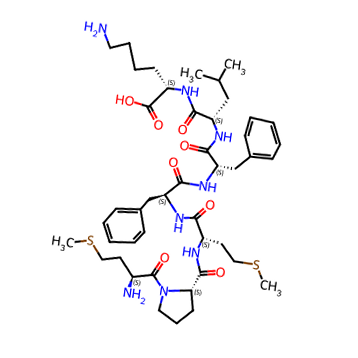 CSCC[C@H](NC(=O)[C@@H]1CCCN1C(=O)[C@@H](N)CCSC)C(=O)N[C@@H](Cc1ccccc1)C(=O)N[C@@H](Cc1ccccc1)C(=O)N[C@@H](CC(C)C)C(=O)N[C@@H](CCCCN)C(=O)O